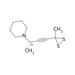 C[C@@H](C#CC1(C)SS1)N1CCCCC1